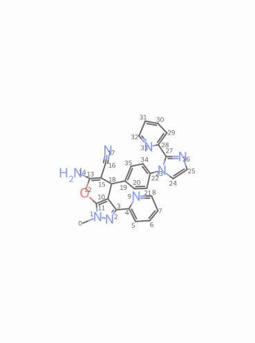 Cn1nc(-c2ccccn2)c2c1OC(N)=C(C#N)C2c1ccc(-n2ccnc2-c2ccccn2)cc1